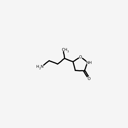 CC(CCN)C1CC(=O)NO1